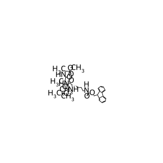 COC(=O)[C@@H](C)NC(=O)[C@@H](C)NC(=O)[C@H](CCCCNC(=O)OCC1c2ccccc2-c2ccccc21)NC(=O)OC(C)(C)C